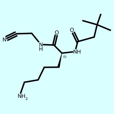 CC(C)(C)CC(=O)N[C@@H](CCCCN)C(=O)NCC#N